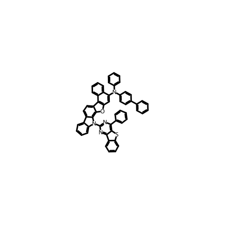 c1ccc(-c2ccc(N(c3ccccc3)c3cc4oc5c(ccc6c7ccccc7n(-c7nc(-c8ccccc8)c8sc9ccccc9c8n7)c65)c4c4ccccc34)cc2)cc1